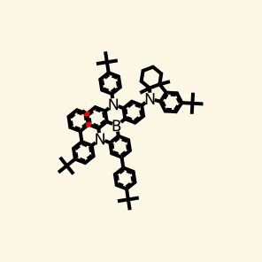 Cc1cc2c3c(c1)N(c1ccc(C(C)(C)C)cc1-c1ccccc1)c1cc(-c4ccc(C(C)(C)C)cc4)ccc1B3c1ccc(N3c4ccc(C(C)(C)C)cc4C4(C)CCCCC34C)cc1N2c1ccc(C(C)(C)C)cc1